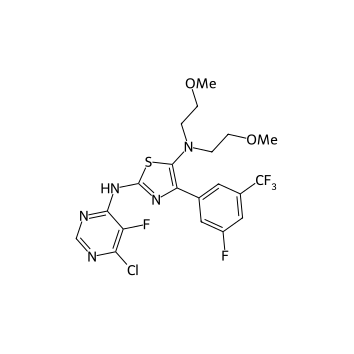 COCCN(CCOC)c1sc(Nc2ncnc(Cl)c2F)nc1-c1cc(F)cc(C(F)(F)F)c1